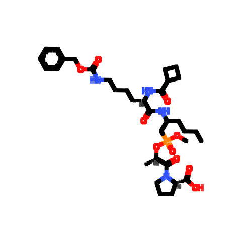 CCCCC(CP(=O)(OC)O[C@@H](C)C(=O)N1CCC[C@H]1C(=O)O)NC(=O)[C@H](CCCCNC(=O)OCc1ccccc1)NC(=O)C1CCC1